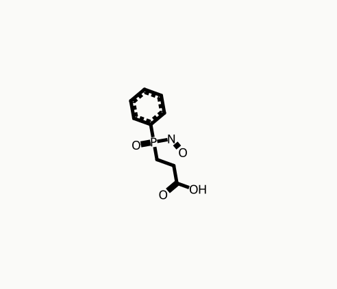 O=NP(=O)(CCC(=O)O)c1ccccc1